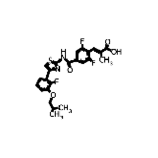 CC(=Cc1c(F)cc(C(=O)Nc2nc(-c3cccc(OCC(C)C)c3F)cs2)cc1F)C(=O)O